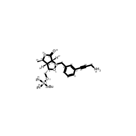 CCCC[Si](OC[C@H]1ON(Cc2cccc(C#CCN)c2)[C@H]2C(=O)O[C@H](C)[C@@H]12)(C(C)C)C(C)C